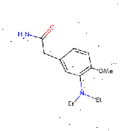 CCN(CC)c1cc(CC(N)=O)ccc1OC